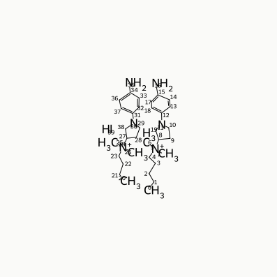 CCCCC[N+](C)(C)C1CCN(c2ccc(N)cc2)C1.CCCC[N+](C)(C)C1CCN(c2ccc(N)cc2)C1.I